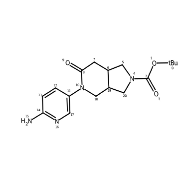 CC(C)(C)OC(=O)N1CC2CC(=O)N(c3ccc(N)nc3)CC2C1